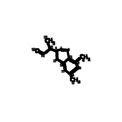 Cc1cc(C)c2ccc(C(C)C=O)cc2c1